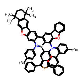 CC(C)(C)c1ccc(N2B3c4cc5c(-c6ccccc6)sc(-c6ccccc6)c5cc4N(c4ccc(C(C)(C)C)cc4-c4ccccc4)c4c3c(cc3c4oc4ccccc43)-c3cc4c(cc32)oc2cc3c(cc24)C(C)(C)CCC3(C)C)cc1